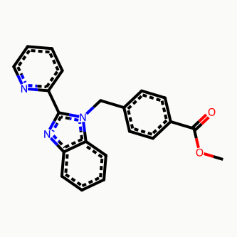 COC(=O)c1ccc(Cn2c(-c3ccccn3)nc3ccccc32)cc1